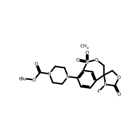 C.CC(C)(C)OC(=O)N1CCN(c2ccc3cc2S(=O)(=O)OCC32COC(=O)N2F)CC1